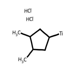 CC1C[CH]([Ti])CC1C.Cl.Cl